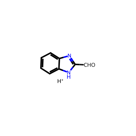 O=Cc1nc2ccccc2[nH]1.[H+]